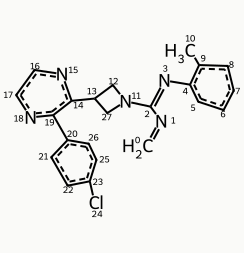 C=N/C(=N\c1ccccc1C)N1CC(c2nccnc2-c2ccc(Cl)cc2)C1